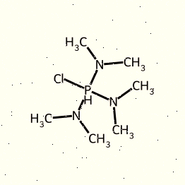 CN(C)[PH](Cl)(N(C)C)N(C)C